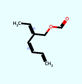 C=C/C=C\C(=C/C)COC=O